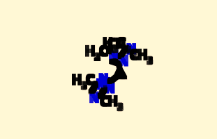 C=C(C)n1cc(C2CC2c2nc3c(C)ncc(C)n3n2)nc1/C(C)=N\C